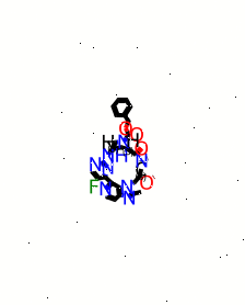 CO[C@H]1CN(C)C(=O)[C@@H]2C[C@@H](CN2C(=O)OCc2ccccc2)Nc2ncc(F)c(n2)-c2nccc3nc(C)n(c23)C1